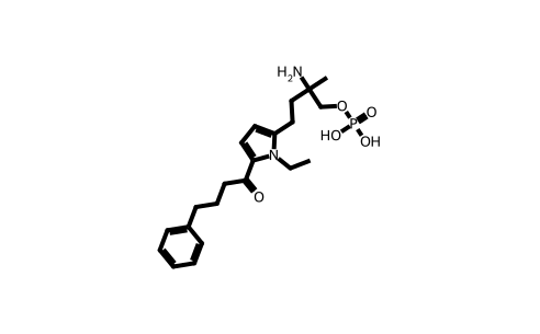 CCn1c(CCC(C)(N)COP(=O)(O)O)ccc1C(=O)CCCc1ccccc1